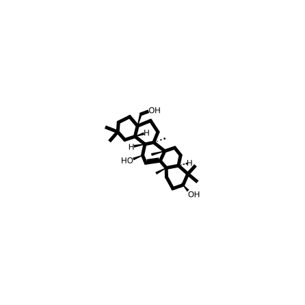 CC1(C)CC[C@]2(CO)CC[C@]3(C)[C@H]([C@H](O)C=C4[C@@]5(C)CC[C@H](O)C(C)(C)[C@@H]5CC[C@]43C)[C@@H]2C1